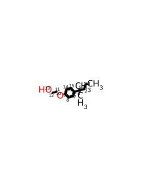 CCCC(C)(C)c1ccc(OCCO)cc1